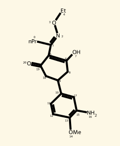 CCC/C(=N\OCC)C1=C(O)CC(c2ccc(OC)c(N)c2)CC1=O